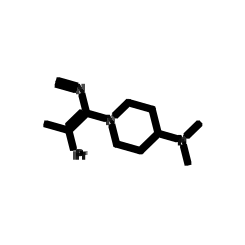 C=N/C(=C(\C)C(C)C)N1CCC(N(C)C)CC1